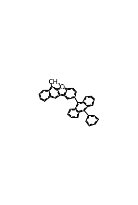 Cc1c2ccccc2cc2c1oc1ccc(-c3c4ccccc4c(-c4ccccc4)c4ccccc34)cc12